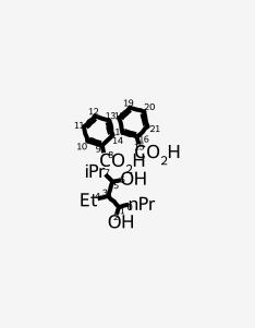 CCCC(O)C(CC)C(O)C(C)C.O=C(O)c1ccccc1.O=C(O)c1ccccc1